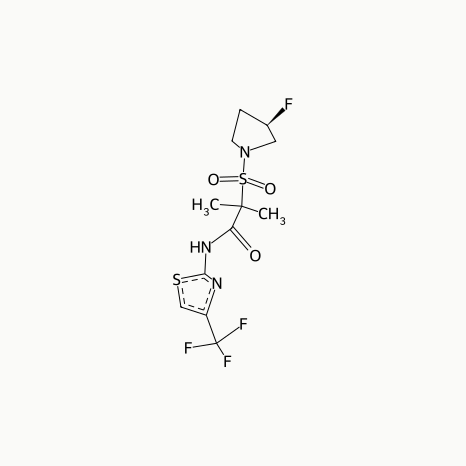 CC(C)(C(=O)Nc1nc(C(F)(F)F)cs1)S(=O)(=O)N1CC[C@@H](F)C1